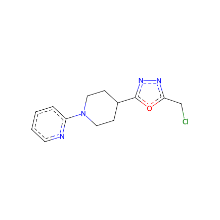 ClCc1nnc(C2CCN(c3ccccn3)CC2)o1